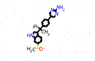 CC(C)C(C)(c1ccc(-c2cnc(N)nc2)cc1)c1c[nH]c2cc([S+](C)[O-])ccc12